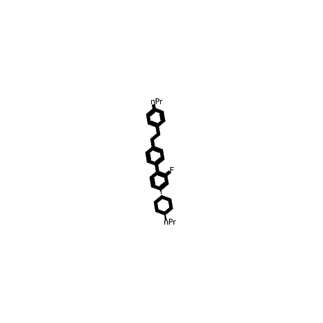 CCCc1ccc(CCc2ccc(-c3ccc([C@H]4CC[C@H](CCC)CC4)cc3F)cc2)cc1